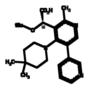 Cc1ncc(-c2cccnc2)c(N2CCC(C)(C)CC2)c1[C@H](OC(C)(C)C)C(=O)O